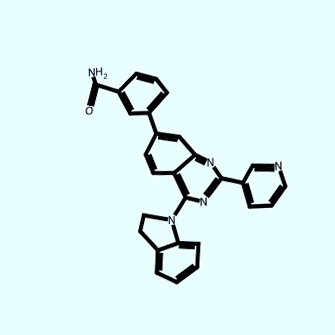 NC(=O)c1cccc(-c2ccc3c(N4CCc5ccccc54)nc(-c4cccnc4)nc3c2)c1